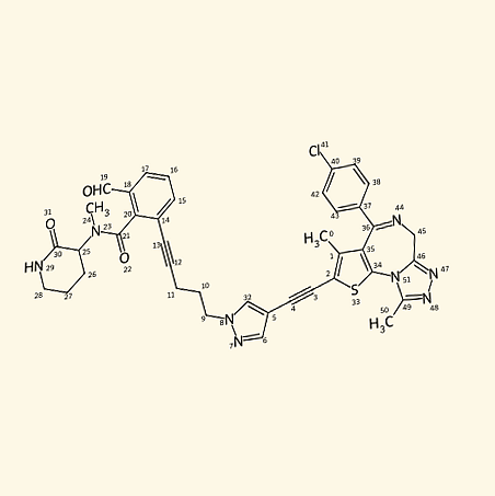 Cc1c(C#Cc2cnn(CCCC#Cc3cccc(C=O)c3C(=O)N(C)C3CCCNC3=O)c2)sc2c1C(c1ccc(Cl)cc1)=NCc1nnc(C)n1-2